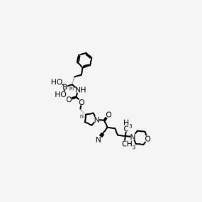 CC(C)(CCC(C#N)C(=O)N1CC[C@H](COC(=O)N[C@@H](CCc2ccccc2)B(O)O)C1)N1CCOCC1